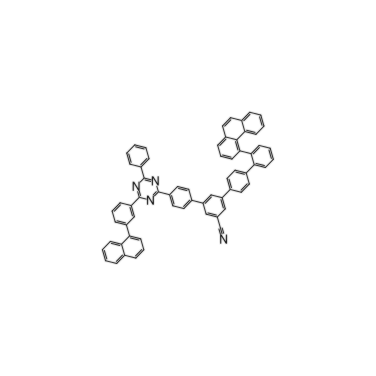 N#Cc1cc(-c2ccc(-c3nc(-c4ccccc4)nc(-c4cccc(-c5cccc6ccccc56)c4)n3)cc2)cc(-c2ccc(-c3ccccc3-c3cccc4ccc5ccccc5c34)cc2)c1